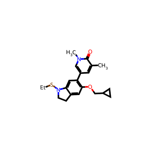 CCSN1CCc2cc(OCC3CC3)c(-c3cc(C)c(=O)n(C)c3)cc21